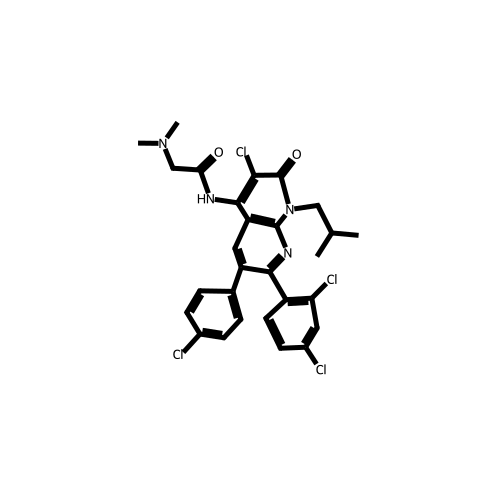 CC(C)Cn1c(=O)c(Cl)c(NC(=O)CN(C)C)c2cc(-c3ccc(Cl)cc3)c(-c3ccc(Cl)cc3Cl)nc21